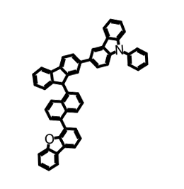 c1ccc(-n2c3ccccc3c3cc(-c4ccc5c(c4)C(c4cccc6c(-c7cccc8c7oc7ccccc78)cccc46)c4ccccc4-5)ccc32)cc1